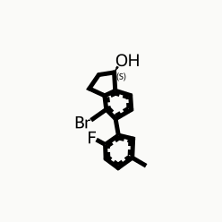 Cc1ccc(F)c(-c2ccc3c(c2Br)CC[C@@H]3O)c1